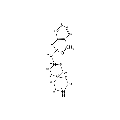 COC(Cc1ccccc1)ON1CCC2(CCNCC2)CC1